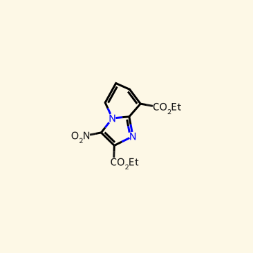 CCOC(=O)c1nc2c(C(=O)OCC)cccn2c1[N+](=O)[O-]